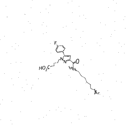 CC(=O)SCCCCCCNC(=O)c1cc(-c2ccc(F)cc2)n(CCCCC(=O)O)n1